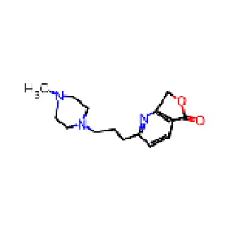 CN1CCN(CCCc2ccc3c(n2)COC3=O)CC1